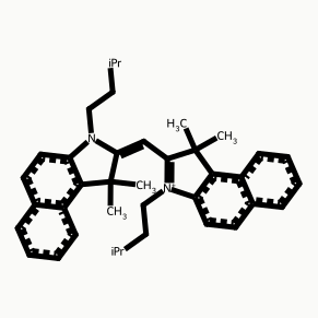 CC(C)CCN1/C(=C/C2=[N+](CCC(C)C)c3ccc4ccccc4c3C2(C)C)C(C)(C)c2c1ccc1ccccc21